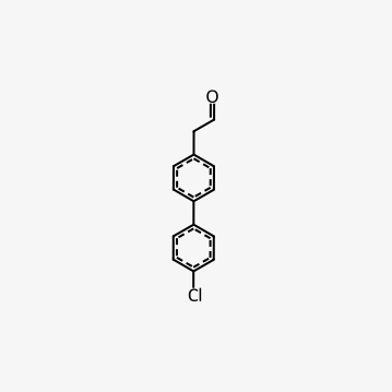 O=CCc1ccc(-c2ccc(Cl)cc2)cc1